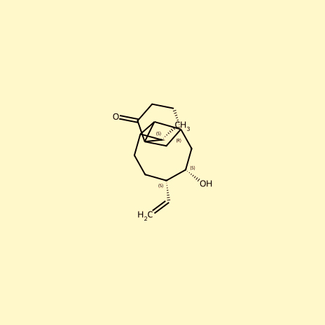 C=C[C@@H]1CCC2C3C4(C[C@]3(CCC4=O)C[C@@H]1O)[C@H]2C